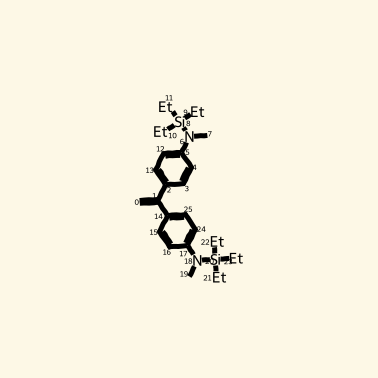 C=C(c1ccc(N(C)[Si](CC)(CC)CC)cc1)c1ccc(N(C)[Si](CC)(CC)CC)cc1